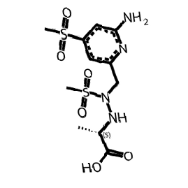 C[C@H](NN(Cc1cc(S(C)(=O)=O)cc(N)n1)S(C)(=O)=O)C(=O)O